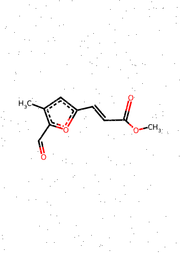 COC(=O)/C=C/c1cc(C)c(C=O)o1